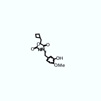 COc1ccc(CCNC(=O)C(CC2CCC2)OC(N)=O)cc1O